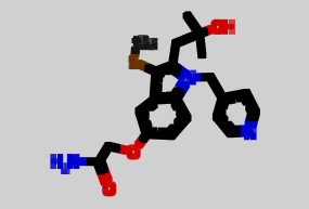 CC(C)(O)Cc1c(SC(C)(C)C)c2cc(OCC(N)=O)ccc2n1Cc1ccncc1